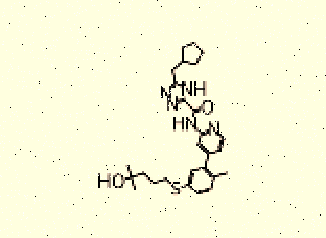 Cc1ccc(SCCCC(C)(C)O)cc1-c1ccnc(NC(=O)c2nnc(CC3CCCC3)[nH]2)c1